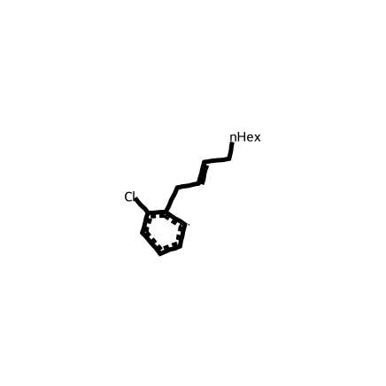 CCCCCCCC=CCc1[c]cccc1Cl